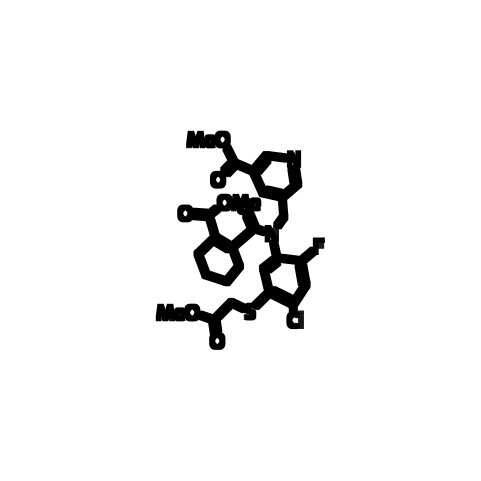 COC(=O)CSc1cc(N(Cc2cncc(C(=O)OC)c2)C(=O)C2=C(C(=O)OC)CCCC2)c(F)cc1Cl